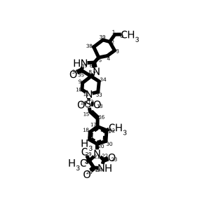 CCC1CCC(C2=NC3(CCN(S(=O)(=O)C=Cc4ccc(N5C(=O)NC(=O)C5(C)C)cc4C)CC3)C(=O)N2)CC1